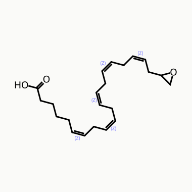 O=C(O)CCCC/C=C\C/C=C\C/C=C\C/C=C\C/C=C\CC1CO1